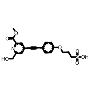 COC(=O)c1cc(C#Cc2ccc(OCCCS(=O)(=O)O)cc2)cc(CO)n1